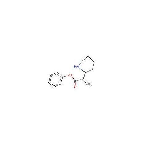 CC(C(=O)Oc1ccccc1)C1CCCCN1